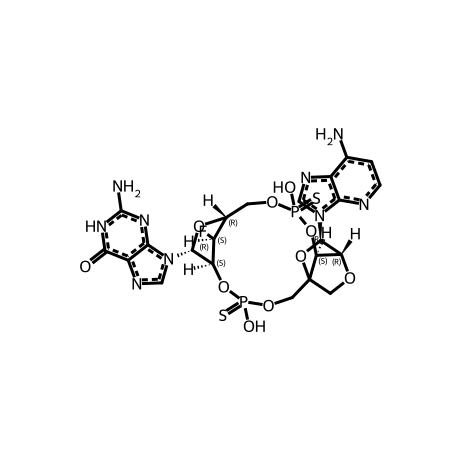 Nc1nc2c(ncn2[C@@H]2O[C@@H]3COP(O)(=S)O[C@H]4[C@H]5OCC4(COP(O)(=S)O[C@@H]2[C@H]3F)O[C@H]5n2cnc3c(N)ccnc32)c(=O)[nH]1